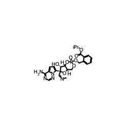 C/N=C\[C@@]1(c2ccc3c(N)ncnn23)O[C@@H]2COP(=O)(OCc3ccccc3C(=O)OC(C)C)O[C@H]2[C@H]1O